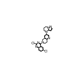 Clc1ccc2nc(Cl)nc(N3CCc4ncc(N5CCCn6nccc65)cc4C3)c2c1